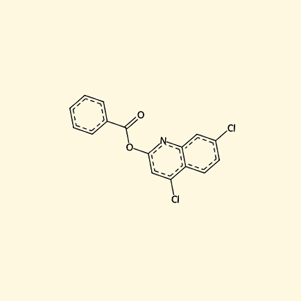 O=C(Oc1cc(Cl)c2ccc(Cl)cc2n1)c1ccccc1